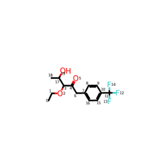 CCOC(C(=O)Cc1ccc(C(F)(F)F)cc1)C(C)O